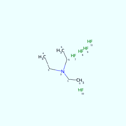 CCN(CC)CC.F.F.F.F.F